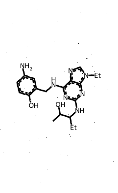 CCC(Nc1nc(NCc2cc(N)ccc2O)c2ncn(CC)c2n1)C(C)O